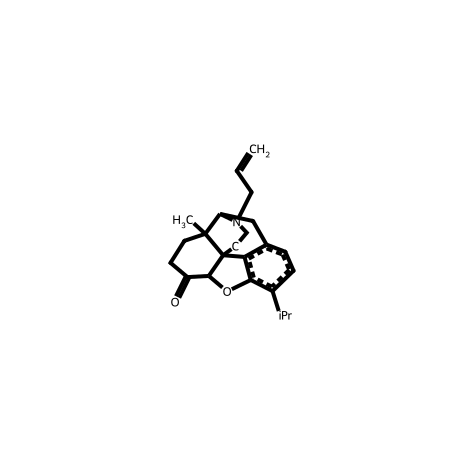 C=CCN1CCC23c4c5ccc(C(C)C)c4OC2C(=O)CCC3(C)C1C5